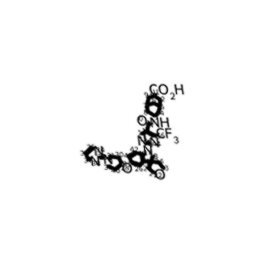 O=C(NC1CC2CC(C1)CC(C(=O)O)C2)c1cnc(N2CC3(CCOCC3)c3cc(OC4CCN(c5ncccn5)CC4)ccc32)nc1C(F)(F)F